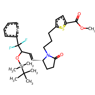 COC(=O)c1ccc(CCCN2C(=O)CC[C@@H]2C=CC(O[Si](C)(C)C(C)(C)C)C(F)(F)c2ccccc2)s1